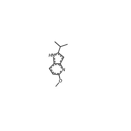 COc1ccc2[nH]c(C(C)C)cc2n1